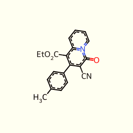 CCOC(=O)c1c(-c2ccc(C)cc2)c(C#N)c(=O)n2ccccc12